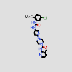 COc1ccc(Cl)cc1NC(=O)Nc1ccc(N2CCN(C(=O)Nc3ncccc3C)CC2)nc1